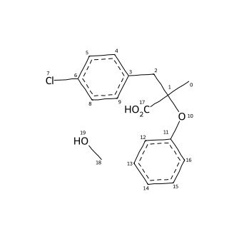 CC(Cc1ccc(Cl)cc1)(Oc1ccccc1)C(=O)O.CO